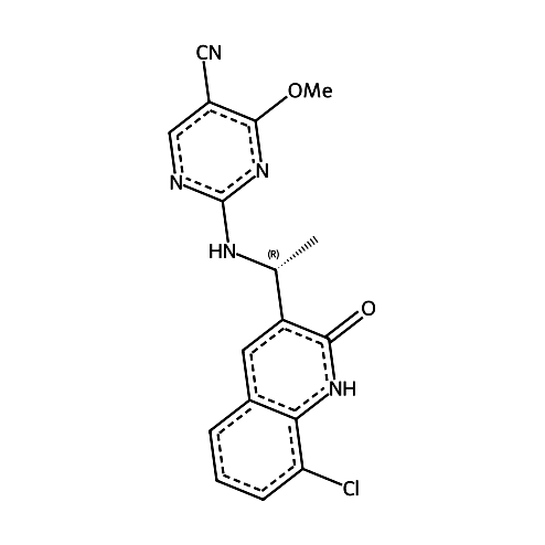 COc1nc(N[C@H](C)c2cc3cccc(Cl)c3[nH]c2=O)ncc1C#N